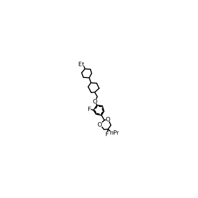 CCCC1(F)COC(c2ccc(OCC3CCC(C4CCC(CC)CC4)CC3)c(F)c2)OC1